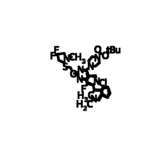 C=N/C=c1/cccc(Cl)/c1=C(/C)c1ncc2c(N3CCN(C(=O)OC(C)(C)C)CC3)nc(OCSC3CC(F)(F)CN3C)nc2c1F